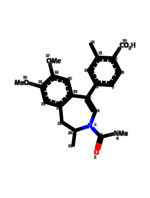 CNC(=O)N1C=C(c2ccc(C(=O)O)c(C)c2)c2cc(OC)c(OC)cc2CC1C